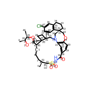 C[C@@H]1O[C@@H]([C@@H]2CCC[C@H](C)[C@@H](C)S(=O)(=O)NC(=O)c3ccc4c(c3)N(C[C@@H]3CC[C@H]32)C[C@@]2(CCCc3cc(Cl)ccc32)CO4)O[C@@H]1C